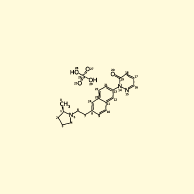 C[C@@H]1CCCN1CCc1ccc2cc(-n3ncccc3=O)ccc2c1.O=S(=O)(O)O